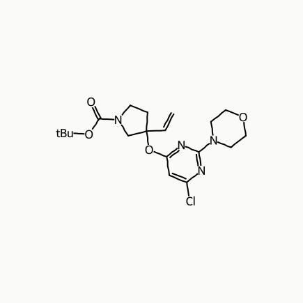 C=CC1(Oc2cc(Cl)nc(N3CCOCC3)n2)CCN(C(=O)OC(C)(C)C)C1